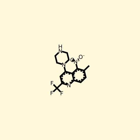 Cc1ccc2nc(C(F)(F)F)cc(N3CCNCC3)c2c1[N+](=O)[O-]